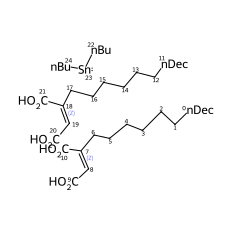 CCCCCCCCCCCCCCCC/C(=C/C(=O)O)C(=O)O.CCCCCCCCCCCCCCCC/C(=C/C(=O)O)C(=O)O.CCC[CH2][Sn][CH2]CCC